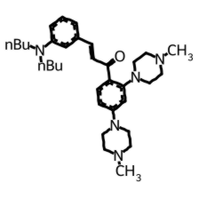 CCCCN(CCCC)c1cccc(C=CC(=O)c2ccc(N3CCN(C)CC3)cc2N2CCN(C)CC2)c1